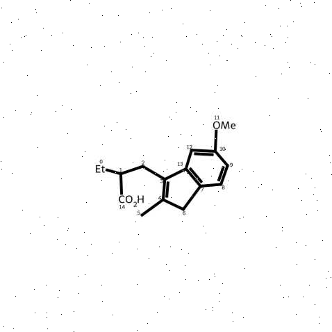 CCC(CC1=C(C)Cc2ccc(OC)cc21)C(=O)O